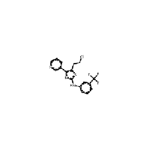 FC(F)(F)c1cccc(Nc2nc(-c3cccnc3)c(CCCl)s2)c1